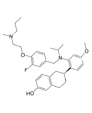 CCCN(C)CCOc1ccc(CN(c2cc(OC)ccc2[C@H]2CCc3cc(O)ccc3C2)C(C)C)cc1F